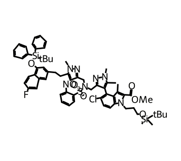 COC(=O)c1c(C)c2c(-c3c(CN(Cc4cc(CCc5cc(O[Si](c6ccccc6)(c6ccccc6)C(C)(C)C)c6ccc(F)cc6c5)n(C)n4)S(=O)(=O)c4ccccc4[N+](=O)[O-])nn(C)c3C)c(Cl)ccc2n1CCCO[Si](C)(C)C(C)(C)C